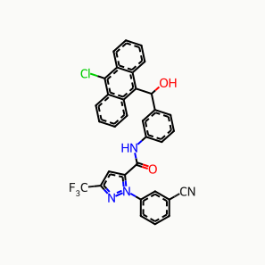 N#Cc1cccc(-n2nc(C(F)(F)F)cc2C(=O)Nc2cccc(C(O)c3c4ccccc4c(Cl)c4ccccc34)c2)c1